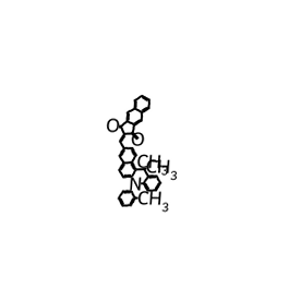 Cc1ccccc1N1c2ccccc2C(C)(C)c2c1ccc1cc(C=C3C(=O)c4cc5ccccc5cc4C3=O)ccc21